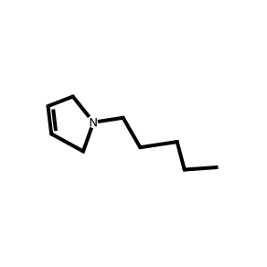 CCCCCN1CC=CC1